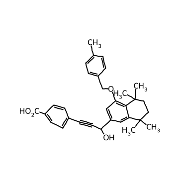 Cc1ccc(COc2cc(C(O)C#Cc3ccc(C(=O)O)cc3)cc3c2C(C)(C)CCC3(C)C)cc1